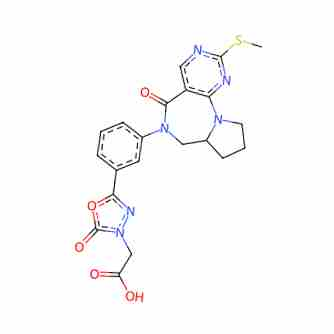 CSc1ncc2c(n1)N1CCCC1CN(c1cccc(-c3nn(CC(=O)O)c(=O)o3)c1)C2=O